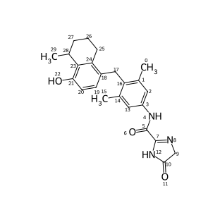 Cc1cc(NC(=O)C2=NCC(=O)N2)cc(C)c1Cc1ccc(O)c2c1CCCC2C